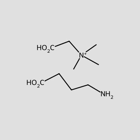 C[N+](C)(C)CC(=O)O.NCCCC(=O)O